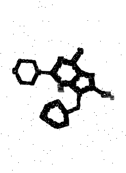 Cc1nc2c(=O)nc(N3CCOCC3)[nH]c2n1Cc1ccccc1